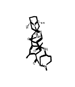 Cc1cc(C(=O)N[C@H]2C[C@H]3CC[C@@H](C2)N3c2ccc(C(=O)NC3CCN(C)CC3)cn2)c(C)cc1C(N)=O